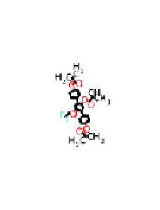 C=C(C)C(=O)Oc1ccc(-c2cc(OC(=O)C(=C)C)c(-c3ccc(OC(=O)C(=C)C)cc3)cc2OC=C(F)F)cc1